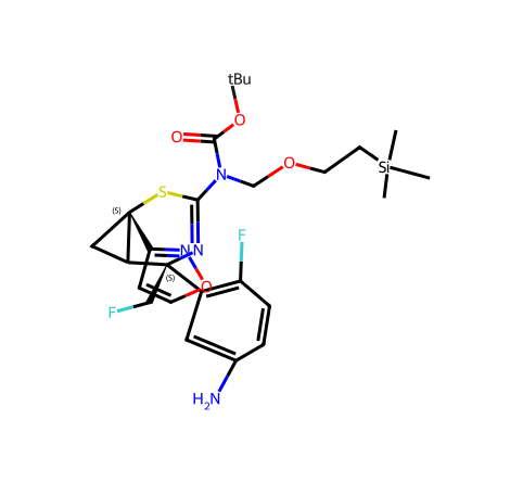 CC(C)(C)OC(=O)N(COCC[Si](C)(C)C)C1=N[C@](CF)(c2cc(N)ccc2F)C2C[C@]2(c2ccon2)S1